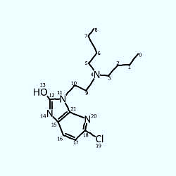 CCCCN(CCCC)CCn1c(O)nc2ccc(Cl)nc21